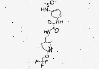 Cc1nc(OCC(F)(F)F)ccc1CCNC(=O)C(=O)Nc1cccc(N[S+](C)[O-])c1